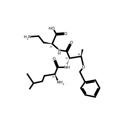 CC(C)CC[C@H](N)C(=O)N[C@H](C(=O)N[C@@H](CCN)C(=O)O)[C@@H](C)OCc1ccccc1